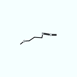 C=C=NCCCSC